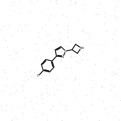 Clc1ccc(-c2ccn(C3CNC3)n2)cc1